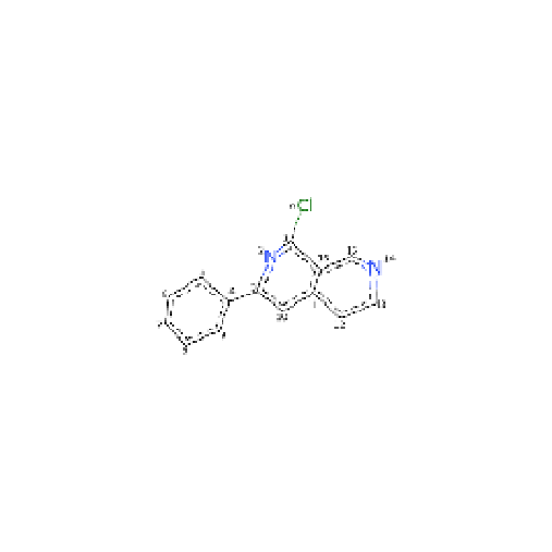 Clc1nc(-c2ccccc2)cc2ccncc12